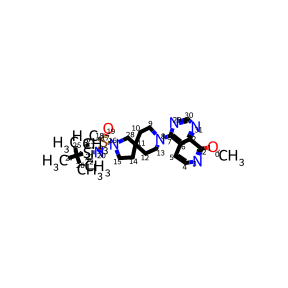 COc1nccc2c(N3CCC4(CC3)CCN(S(C)(=O)=N[Si](C)(C)C(C)(C)C)C4)ncnc12